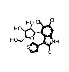 OC[C@H]1O[C@@H](c2c(Cl)c(Cl)cc3[nH]c(Cl)c(-c4ccsc4)c23)[C@H](O)[C@@H]1O